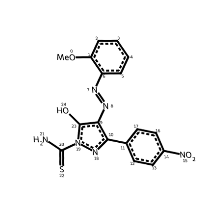 COc1ccccc1/N=N/c1c(-c2ccc([N+](=O)[O-])cc2)nn(C(N)=S)c1O